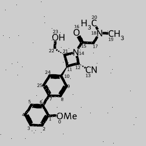 COc1ccccc1-c1ccc([C@@H]2[C@@H](C#N)N(C(=O)CN(C)C)[C@H]2CO)cc1